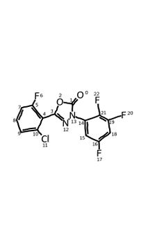 O=c1oc(-c2c(F)cccc2Cl)nn1-c1cc(F)cc(F)c1F